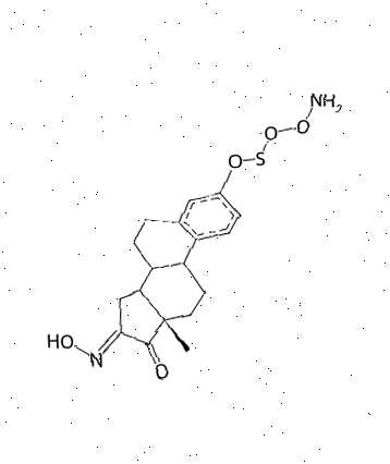 C[C@]12CCC3c4ccc(OSOON)cc4CCC3C1C/C(=N\O)C2=O